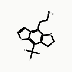 NCCc1c2c(c(C(F)(F)F)c3occc13)CCO2